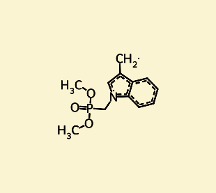 [CH2]c1cn(CP(=O)(OC)OC)c2ccccc12